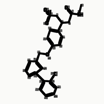 CNC(=O)CC(C[SH](=O)=O)c1ccc(OCc2cccc(-c3ccccc3Cl)c2)cc1